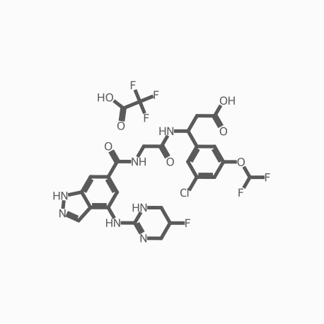 O=C(O)C(F)(F)F.O=C(O)CC(NC(=O)CNC(=O)c1cc(NC2=NCC(F)CN2)c2cn[nH]c2c1)c1cc(Cl)cc(OC(F)F)c1